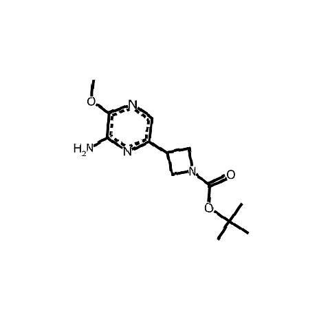 COc1ncc(C2CN(C(=O)OC(C)(C)C)C2)nc1N